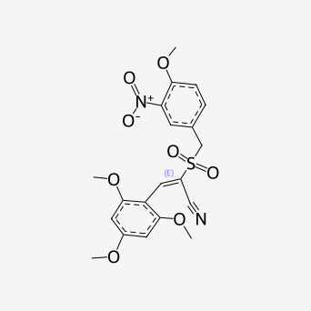 COc1cc(OC)c(/C=C(\C#N)S(=O)(=O)Cc2ccc(OC)c([N+](=O)[O-])c2)c(OC)c1